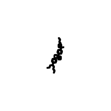 CCCCOC(C)c1ccc(C(=O)Oc2ccc(C(CCC)CCCC)cc2)cc1